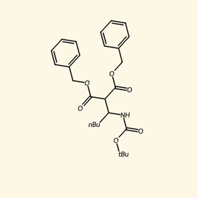 CCCCC(NC(=O)OC(C)(C)C)C(C(=O)OCc1ccccc1)C(=O)OCc1ccccc1